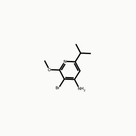 COc1nc(C(C)C)cc(N)c1Br